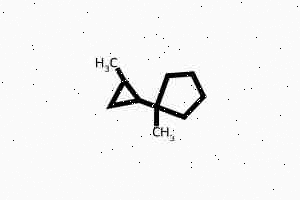 C[C]1CC1C1(C)CCCC1